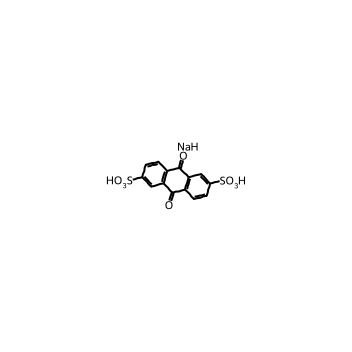 O=C1c2ccc(S(=O)(=O)O)cc2C(=O)c2ccc(S(=O)(=O)O)cc21.[NaH]